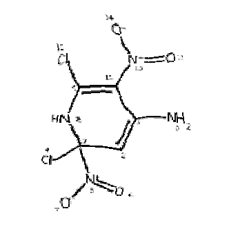 NC1=CC(Cl)([N+](=O)[O-])NC(Cl)=C1[N+](=O)[O-]